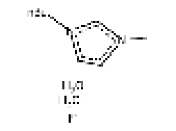 CCCCn1cc[n+](C)c1.O.O.[F-]